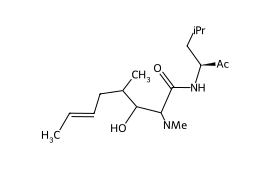 C/C=C/CC(C)C(O)C(NC)C(=O)N[C@@H](CC(C)C)C(C)=O